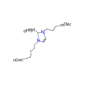 CCCCCCCCCCCCCCN1C=CN(CCCCCCCCCCCCC)C1CCCCCCC